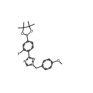 COc1ccc(Cn2cnc(-c3ccc(B4OC(C)(C)C(C)(C)O4)cc3F)n2)cc1